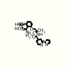 CC(C)(COc1cccc2c1C(N)=NS(O)(O)N2)NC(=O)c1ccnc(-n2cccn2)c1